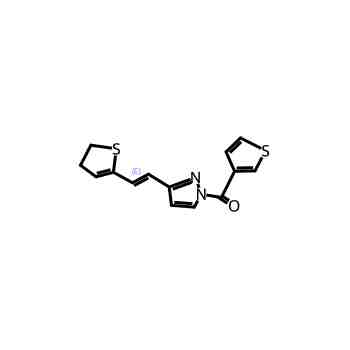 O=C(c1ccsc1)n1ccc(/C=C/C2=CCCS2)n1